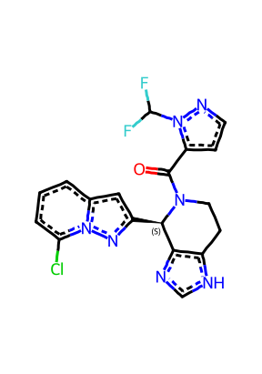 O=C(c1ccnn1C(F)F)N1CCc2[nH]cnc2[C@H]1c1cc2cccc(Cl)n2n1